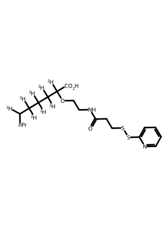 [2H]C(CCC)C([2H])([2H])C([2H])([2H])C([2H])([2H])C([2H])(OCCNC(=O)CCSSc1ccccn1)C(=O)O